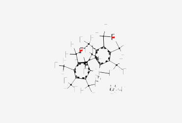 C[Si]([O-])(c1c(C(F)(F)F)c(C(F)(F)F)c(C(F)(F)F)c(C(F)(F)F)c1C(F)(F)F)c1c(C(F)(F)F)c(C(F)(F)F)c(C(F)(F)F)c(C(F)(F)F)c1C(F)(F)F.[Br-].[Mg+2]